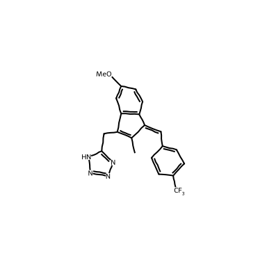 COc1ccc2c(c1)C(Cc1nnn[nH]1)=C(C)C2=Cc1ccc(C(F)(F)F)cc1